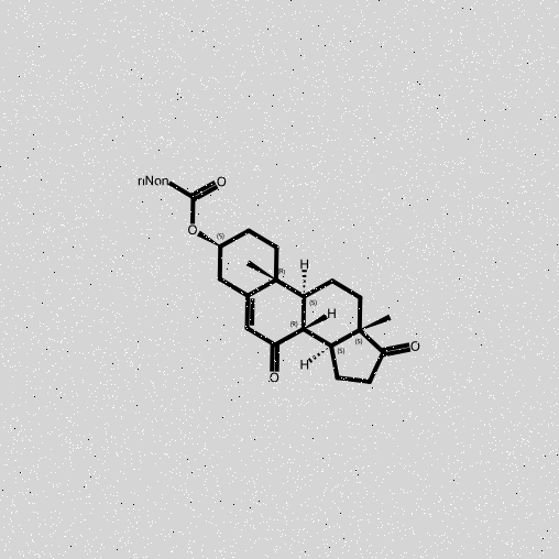 CCCCCCCCCC(=O)O[C@H]1CC[C@@]2(C)C(=CC(=O)[C@@H]3[C@@H]2CC[C@]2(C)C(=O)CC[C@@H]32)C1